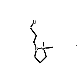 [Li][CH2]CCN1CCC[Si]1(C)C